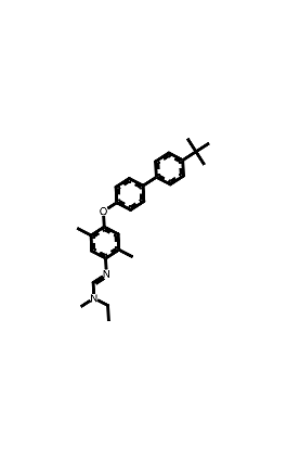 CCN(C)C=Nc1cc(C)c(Oc2ccc(-c3ccc(C(C)(C)C)cc3)cc2)cc1C